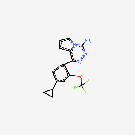 Nc1nnc(-c2ccc(C3CC3)cc2OC(F)(F)F)c2cccn12